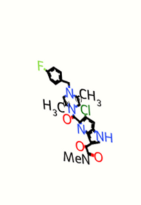 CNC(=O)C(=O)c1c[nH]c2cc(Cl)c(C(=O)N3C[C@H](C)N(Cc4ccc(F)cc4)C[C@H]3C)nc12